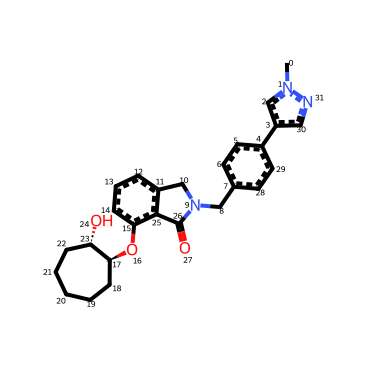 Cn1cc(-c2ccc(CN3Cc4cccc(O[C@H]5CCCCC[C@@H]5O)c4C3=O)cc2)cn1